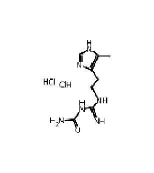 Cc1[nH]cnc1CCNC(=N)NC(N)=O.Cl.Cl